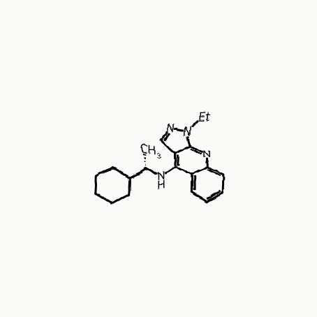 CCn1ncc2c(N[C@@H](C)C3CCCCC3)c3ccccc3nc21